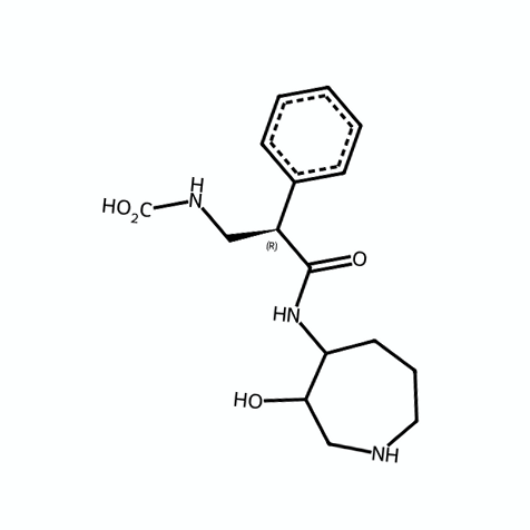 O=C(O)NC[C@H](C(=O)NC1CCCNCC1O)c1ccccc1